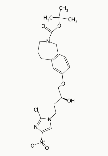 CC(C)(C)OC(=O)N1CCCc2cc(OC[C@@H](O)CCn3cc([N+](=O)[O-])nc3Cl)ccc2C1